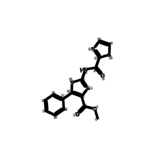 COC(=O)c1nc(NC(=O)c2nccs2)sc1-c1ccccc1